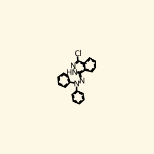 Clc1n[nH]/c(=N\N(c2ccccc2)c2ccccc2)c2ccccc12